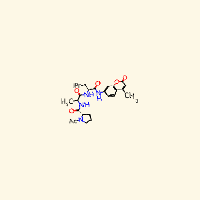 CC(=O)N1CCC[C@H]1C(=O)N[C@@H](C)C(=O)N[C@@H](CC(C)C)C(=O)Nc1ccc2c(C)cc(=O)oc2c1